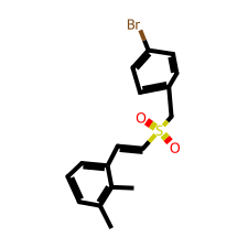 Cc1cccc(C=CS(=O)(=O)Cc2ccc(Br)cc2)c1C